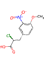 COc1ccc(C[C@H](Cl)C(=O)O)cc1[N+](=O)[O-]